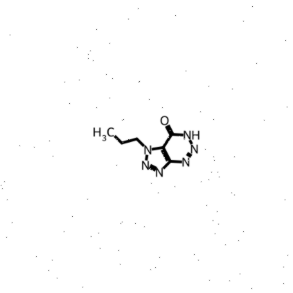 CCCn1nnc2nn[nH]c(=O)c21